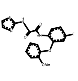 COc1ccccc1Oc1cc(F)ccc1NC(=O)C(=O)Nc1nccs1